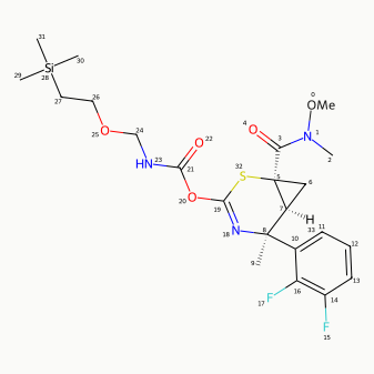 CON(C)C(=O)[C@]12C[C@H]1[C@@](C)(c1cccc(F)c1F)N=C(OC(=O)NCOCC[Si](C)(C)C)S2